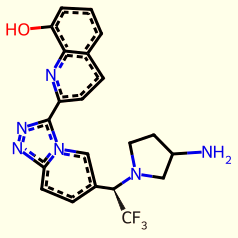 NC1CCN([C@H](c2ccc3nnc(-c4ccc5cccc(O)c5n4)n3c2)C(F)(F)F)C1